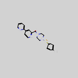 O=C(c1cc(-c2ccccn2)ccn1)N1CCN(S(=O)(=O)c2ccc(C(F)(F)F)cc2)CC1